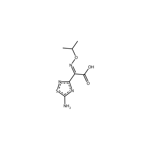 CC(C)ON=C(C(=O)O)c1nsc(N)n1